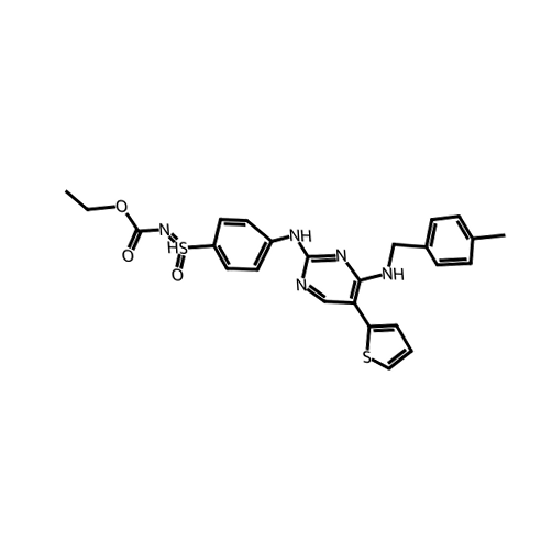 CCOC(=O)/N=[SH](=O)/c1ccc(Nc2ncc(-c3cccs3)c(NCc3ccc(C)cc3)n2)cc1